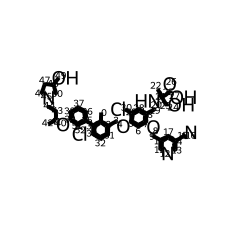 Cc1c(COc2cc(OCc3cncc(C#N)c3)c(CNC(C)(CO)C(=O)O)cc2Cl)cccc1-c1cccc(OC(C)CCN2CCC(O)C2)c1Cl